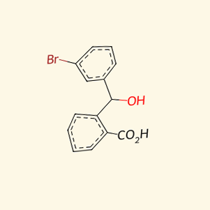 O=C(O)c1ccccc1C(O)c1cccc(Br)c1